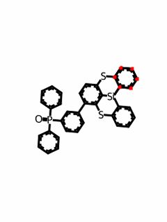 O=P(c1ccccc1)(c1ccccc1)c1cccc(-c2ccc3c4c2Sc2ccccc2[Si]4(c2ccccc2)c2ccccc2S3)c1